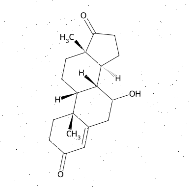 C[C@]12CCC(=O)C=C1CC(O)[C@@H]1[C@H]2CC[C@]2(C)C(=O)CC[C@@H]12